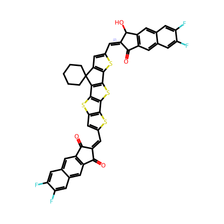 O=C1C(=Cc2cc3sc4c5c(sc4c3s2)-c2sc(/C=C3\C(=O)c4cc6cc(F)c(F)cc6cc4C3O)cc2C52CCCCC2)C(=O)c2cc3cc(F)c(F)cc3cc21